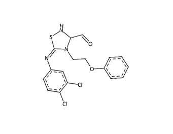 O=CC1NSC(=Nc2ccc(Cl)c(Cl)c2)N1CCOc1ccccc1